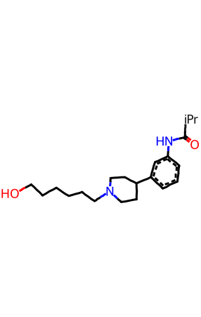 CC(C)C(=O)Nc1cccc(C2CCN(CCCCCCO)CC2)c1